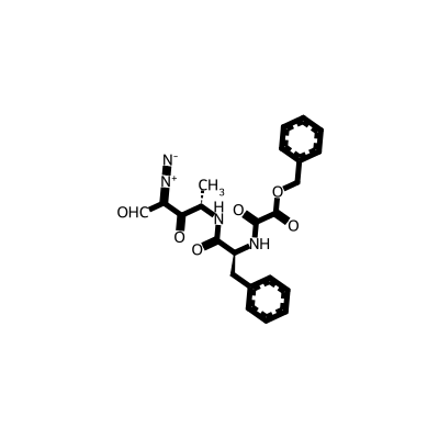 C[C@H](NC(=O)[C@H](Cc1ccccc1)NC(=O)C(=O)OCc1ccccc1)C(=O)C(C=O)=[N+]=[N-]